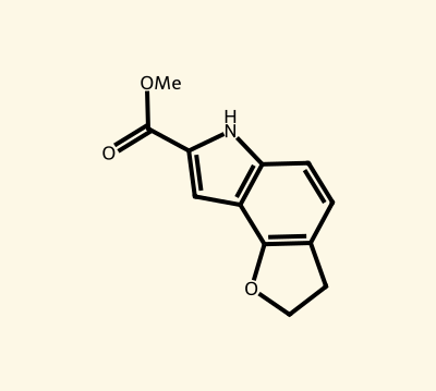 COC(=O)c1cc2c3c(ccc2[nH]1)CCO3